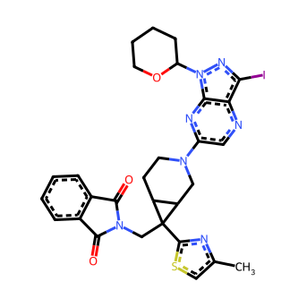 Cc1csc(C2(CN3C(=O)c4ccccc4C3=O)C3CCN(c4cnc5c(I)nn(C6CCCCO6)c5n4)CC32)n1